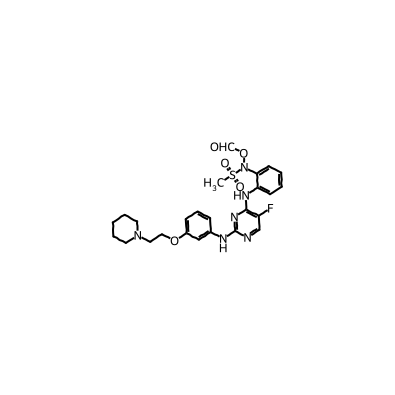 CS(=O)(=O)N(OC=O)c1ccccc1Nc1nc(Nc2cccc(OCCN3CCCCC3)c2)ncc1F